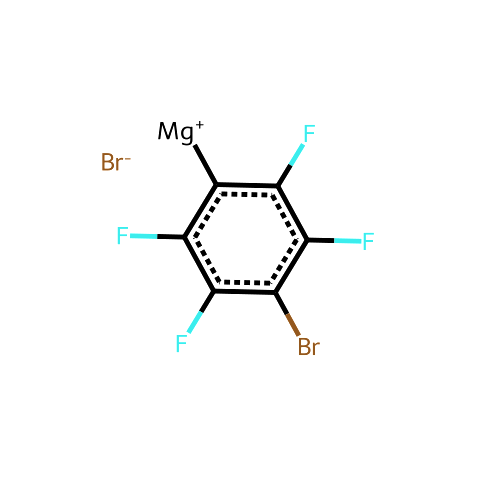 Fc1c(F)c(Br)c(F)c(F)[c]1[Mg+].[Br-]